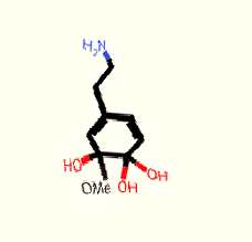 COC1(O)C=C(CCN)C=CC1(O)O